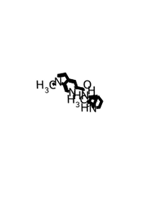 C[C@H]1[C@H](NC(=O)c2cc3ccn(C)c3cn2)C2CCN1CC2